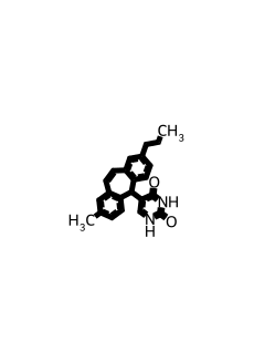 CCCc1ccc2c(c1)C=Cc1cc(C)ccc1C2c1c[nH]c(=O)[nH]c1=O